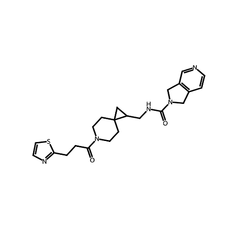 O=C(CCc1nccs1)N1CCC2(CC1)CC2CNC(=O)N1Cc2ccncc2C1